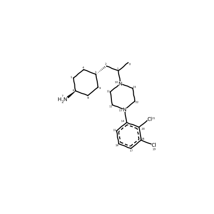 CC(C[C@H]1CC[C@H](N)CC1)N1CCN(c2cccc(Cl)c2Cl)CC1